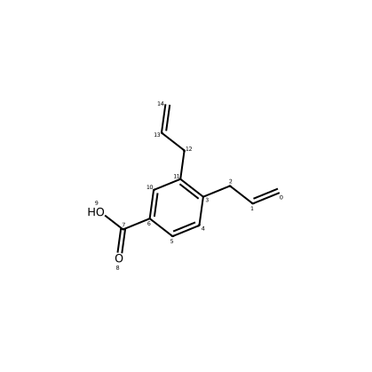 C=CCc1ccc(C(=O)O)cc1CC=C